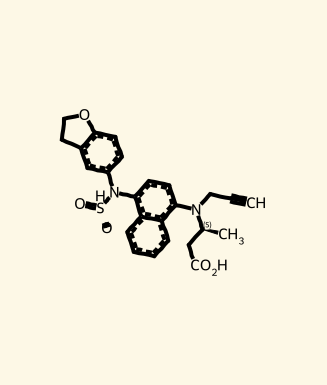 C#CCN(c1ccc(N(c2ccc3c(c2)CCO3)[SH](=O)=O)c2ccccc12)[C@@H](C)CC(=O)O